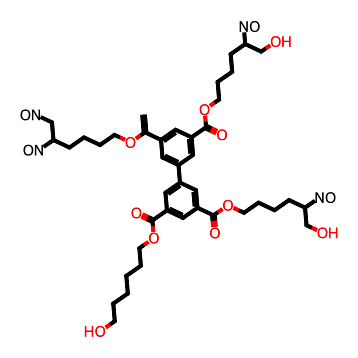 C=C(OCCCCC(CN=O)N=O)c1cc(C(=O)OCCCCC(CO)N=O)cc(-c2cc(C(=O)OCCCCCCO)cc(C(=O)OCCCCC(CO)N=O)c2)c1